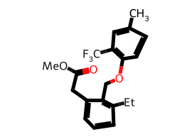 CCc1cccc(CC(=O)OC)c1COc1ccc(C)cc1C(F)(F)F